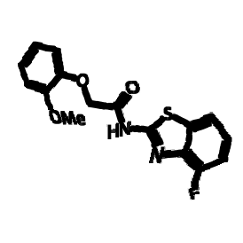 COc1ccccc1OCC(=O)Nc1nc2c(F)cccc2s1